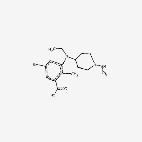 CBN1CCC(N(CC)c2cc(Br)cc(C(=O)O)c2C)CC1